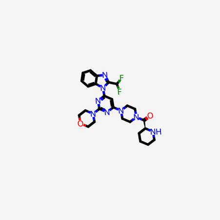 O=C([C@@H]1CCCCN1)N1CCN(c2cc(-n3c(C(F)F)nc4ccccc43)nc(N3CCOCC3)n2)CC1